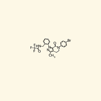 Cc1nn(-c2ccccc2CNC(=O)C(F)(F)F)c2c1CCN(c1ccc(Br)cc1)C2=O